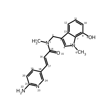 CN(Cc1cn(C)c2c(O)cccc12)C(=O)C=Cc1ccc(N)nc1